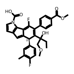 CCC(O)(COC)C1=C(c2ccc(C(=O)OC)cc2)C(F)=C2C(=Cc3ccn(C(=O)O)c32)[C@@H]1c1ccc(F)c(C)c1